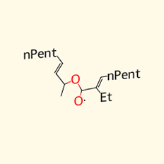 CCCCCC=CC(C)OC([O])C(=CCCCCC)CC